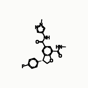 CNC(=O)c1cc(C(=O)Nc2cnn(C)c2)cc2c1OC[C@@H]2c1ccc(F)cc1